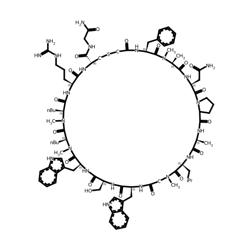 CCCC[C@H]1C(=O)N(C)[C@@H](CCCC)C(=O)N[C@@H](CCCNC(=N)N)C(=O)N[C@H](C(=O)NCC(N)=O)CSCC(=O)N[C@@H](Cc2ccccc2)C(=O)N(C)[C@@H](C)C(=O)N[C@@H](CC(N)=O)C(=O)N2CCCC2C(=O)N[C@@H](C)C(=O)N[C@@H](CC(C)C)C(=O)N(C)CC(=O)N[C@@H](Cc2c[nH]c3ccccc23)C(=O)N[C@@H](CO)C(=O)N[C@@H](Cc2c[nH]c3ccccc23)C(=O)N1C